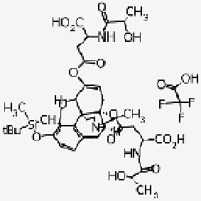 C[C@H](O)C(=O)N[C@@H](CC(=O)OC1=CC[C@@]2(OC(=O)C[C@H](NC(=O)[C@H](C)O)C(=O)O)[C@H]3Cc4ccc(O[Si](C)(C)C(C)(C)C)c5c4[C@@]2(CCN3C)[C@H]1O5)C(=O)O.O=C(O)C(F)(F)F